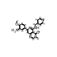 COc1ccc(-c2cc3ncn(C)c(=O)c3c(NCc3ccncc3)n2)cc1N